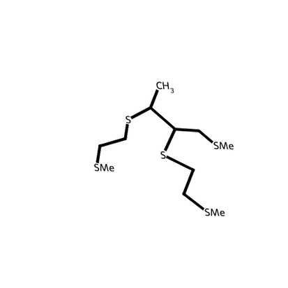 CSCCSC(C)C(CSC)SCCSC